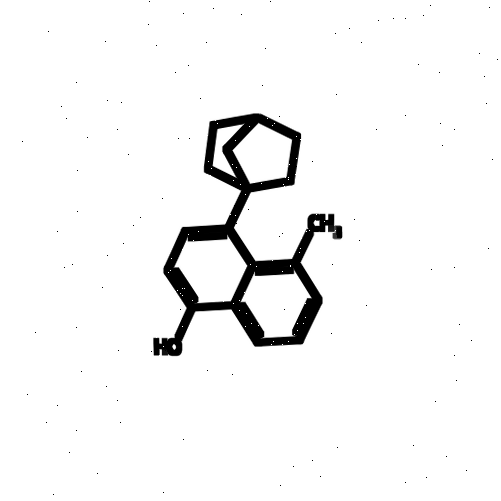 Cc1cccc2c(O)ccc(C34CCC(CC3)C4)c12